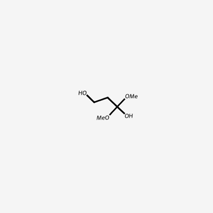 COC(O)(CCO)OC